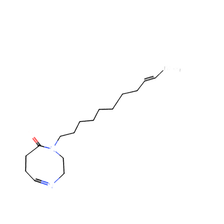 CCCCCCCCC=CCCCCCCCCN1CCN=CCCC1=O